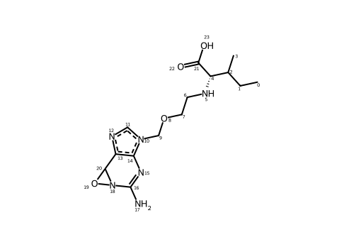 CCC(C)[C@H](NCCOCn1cnc2c1N=C(N)N1OC21)C(=O)O